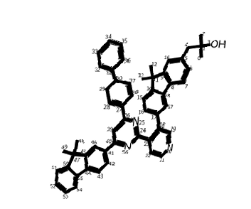 CC(C)(O)Cc1ccc2c(c1)C(C)(C)c1ccc(-c3cnccc3-c3nc(C4=CCC(c5ccccc5)C=C4)cc(-c4ccc5c(c4)C(C)(C)c4ccccc4-5)n3)cc1-2